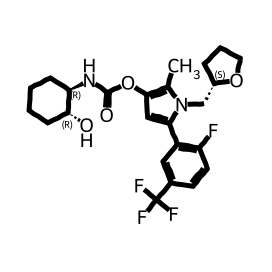 Cc1c(OC(=O)N[C@@H]2CCCC[C@H]2O)cc(-c2cc(C(F)(F)F)ccc2F)n1C[C@@H]1CCCO1